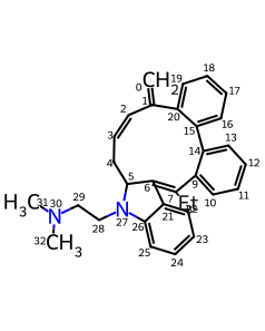 C=C1/C=C\CC2/C(=C(\CC)c3ccccc3-c3ccccc31)c1ccccc1N2CCN(C)C